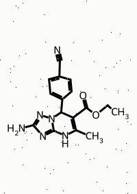 CCOC(=O)C1=C(C)Nc2nc(N)nn2C1c1ccc(C#N)cc1